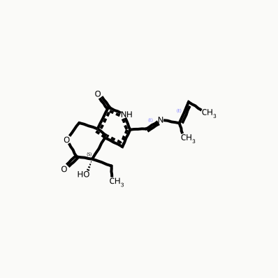 C/C=C(C)/N=C/c1cc2c(c(=O)[nH]1)COC(=O)[C@]2(O)CC